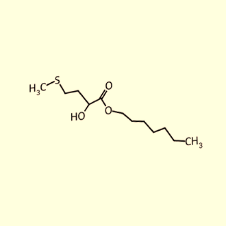 CCCCCCCOC(=O)C(O)CCSC